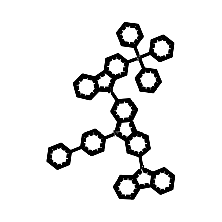 c1ccc(-c2ccc(-n3c4cc(-n5c6ccccc6c6ccccc65)ccc4c4ccc(-n5c6ccccc6c6ccc([Si](c7ccccc7)(c7ccccc7)c7ccccc7)cc65)cc43)cc2)cc1